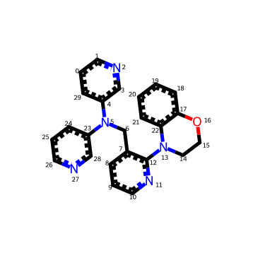 c1cncc(N(Cc2cccnc2N2CCOc3ccccc32)c2cccnc2)c1